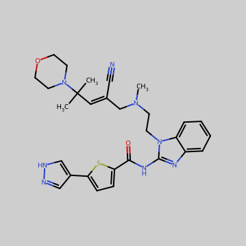 CN(CCn1c(NC(=O)c2ccc(-c3cn[nH]c3)s2)nc2ccccc21)CC(C#N)=CC(C)(C)N1CCOCC1